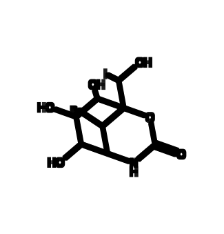 O=C1NC2C(O)C(O)C(O)C(C(O)I)(O1)C2Br